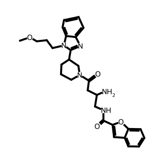 COCCCn1c(C2CCCN(C(=O)CC(N)CNC(=O)c3cc4ccccc4o3)C2)nc2ccccc21